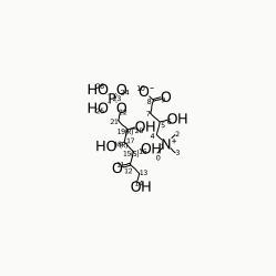 C[N+](C)(C)CC(O)CC(=O)[O-].O=C(CO)[C@@H](O)[C@H](O)[C@H](O)COP(=O)(O)O